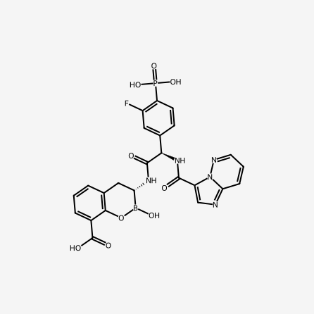 O=C(O)c1cccc2c1OB(O)[C@@H](NC(=O)[C@H](NC(=O)c1cnc3cccnn13)c1ccc(P(=O)(O)O)c(F)c1)C2